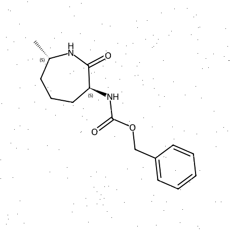 C[C@H]1CCC[C@H](NC(=O)OCc2ccccc2)C(=O)N1